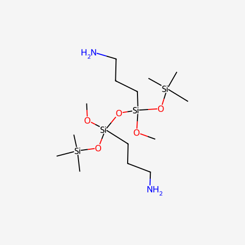 CO[Si](CCCN)(O[Si](C)(C)C)O[Si](CCCN)(OC)O[Si](C)(C)C